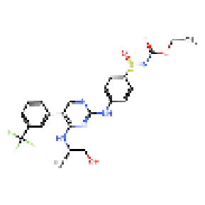 CCOC(=O)/N=[SH](=O)/c1ccc(Nc2ncc(-c3cccc(C(F)(F)F)c3)c(N[C@H](C)CO)n2)cc1